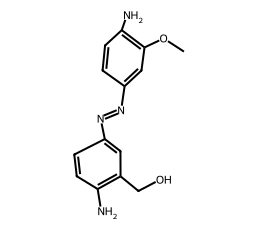 COc1cc(N=Nc2ccc(N)c(CO)c2)ccc1N